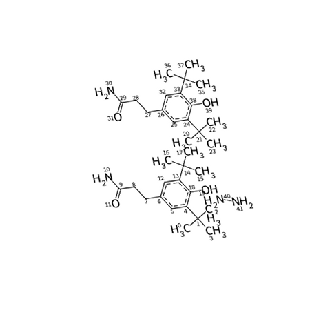 CC(C)(C)c1cc(CCC(N)=O)cc(C(C)(C)C)c1O.CC(C)(C)c1cc(CCC(N)=O)cc(C(C)(C)C)c1O.NN